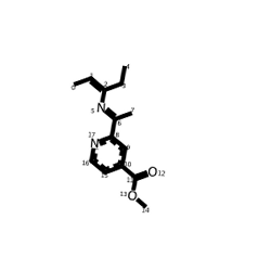 C/C=C(CC)\N=C(/C)c1cc(C(=O)OC)ccn1